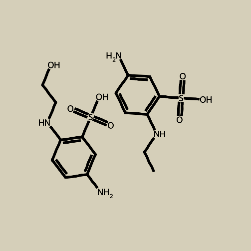 CCNc1ccc(N)cc1S(=O)(=O)O.Nc1ccc(NCCO)c(S(=O)(=O)O)c1